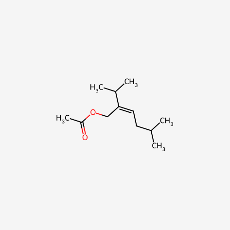 CC(=O)OC/C(=C\CC(C)C)C(C)C